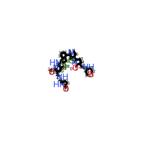 COc1nc(-c2ccnc(-c3cccc4c3CC[C@H]4Nc3nc(OC)c(CNC[C@H]4CCC(=O)N4)cc3C(F)(F)F)c2Cl)ccc1CNC1CCOCC1